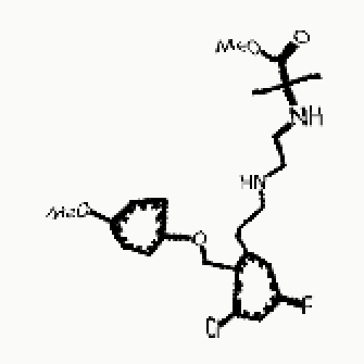 COC(=O)C(C)(C)NCCNCCc1cc(F)cc(Cl)c1COc1ccc(OC)cc1